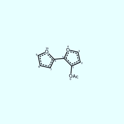 CC(=O)Oc1ccoc1-c1ccco1